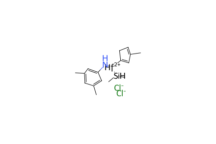 CC1=CC[C]([Hf+2]([NH]c2cc(C)cc(C)c2)[SiH](C)C)=C1.[Cl-].[Cl-]